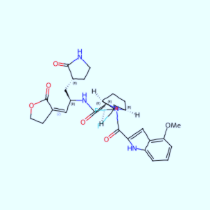 COc1cccc2[nH]c(C(=O)N3[C@@H]4CC[C@H]([C@@H]3C(=O)N[C@@H](/C=C3/CCOC3=O)C[C@H]3CCNC3=O)C(F)(F)C4)cc12